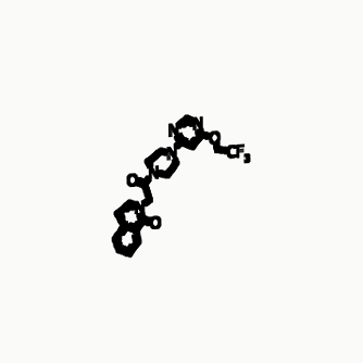 O=C(Cn1ccc2ccccc2c1=O)N1CCN(c2cc(OCC(F)(F)F)ncn2)CC1